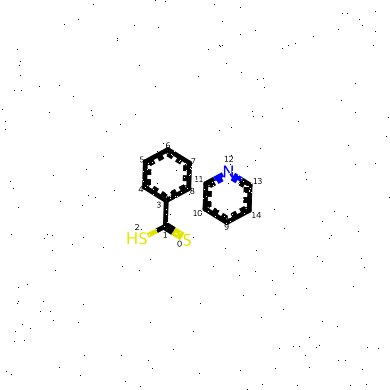 S=C(S)c1ccccc1.c1ccncc1